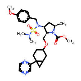 COC(=O)N1[C@H](C)C[C@H](N(Cc2ccc(OC)cc2)S(=O)(=O)N(C)C)[C@@H]1COC1CCC2(c3cnccn3)CC2C1